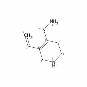 C=CC1=C(SN)CCNC1